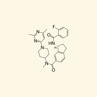 Cc1cc(N2CCC(N(C)C(=O)c3ccc4c(c3)[C@H](NC(=O)c3ccccc3F)CC4)CC2)nc(C)n1